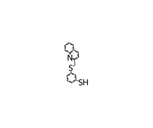 Sc1cccc(SCc2ccc3ccccc3n2)c1